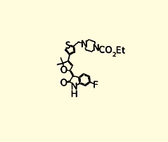 CCOC(=O)N1CCN(Cc2cc(C3=CC(=C4C(=O)Nc5cc(F)ccc54)OC3(C)C)cs2)CC1